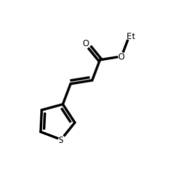 CCOC(=O)/C=C/c1ccsc1